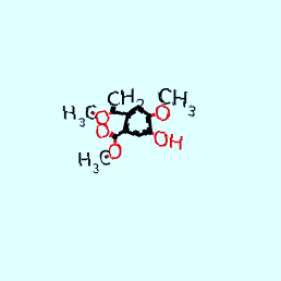 C=C(OC)c1cc(OC)c(O)cc1C(=O)OC